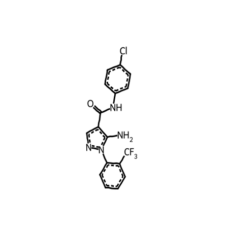 Nc1c(C(=O)Nc2ccc(Cl)cc2)cnn1-c1ccccc1C(F)(F)F